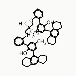 Cc1cc(-c2ccccc2OCC(C)(C)COc2ccccc2-c2cc(C)cc(-c3c4c(cc5c3CCCC5)CCCC4)c2O)c(O)c(-c2c3c(cc4c2CCCC4)CCCC3)c1